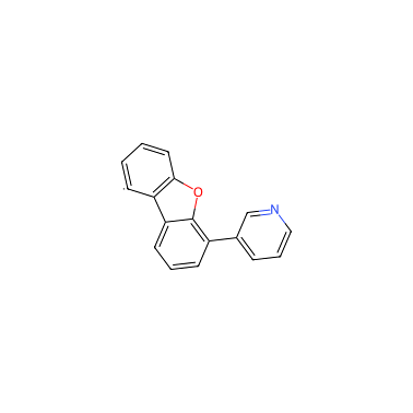 [c]1cccc2oc3c(-c4cccnc4)cccc3c12